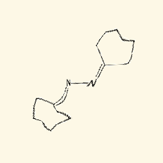 C1CCC(=NN=C2CCCC2)C1